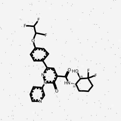 O=C(N[C@H]1CCCC(F)(F)[C@@H]1O)c1cc(-c2ccc(OC(F)C(F)F)cc2)nn(-c2cccnc2)c1=O